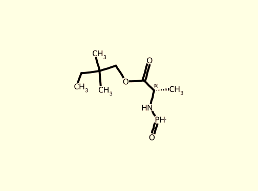 CCC(C)(C)COC(=O)[C@H](C)N[PH]=O